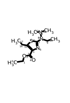 CCOC(=O)c1nc(N(CC)N(C)C)sc1CC